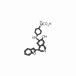 O=C(O)NC1CCC(Nc2cc3c(-c4cc5ccccc5o4)cncc3cc2O)CC1